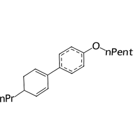 CCCCCOc1ccc(C2=CCC(CCC)C=C2)cc1